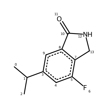 CC(C)c1cc(F)c2c(c1)C(=O)NC2